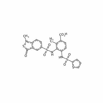 Cc1c(C(=O)O)ccc(NS(=O)(=O)c2cccs2)c1NS(=O)(=O)c1ccc2c(c1)c(=O)sn2C